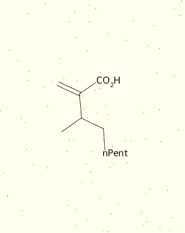 C=C(C(=O)O)C(C)CCCCCC